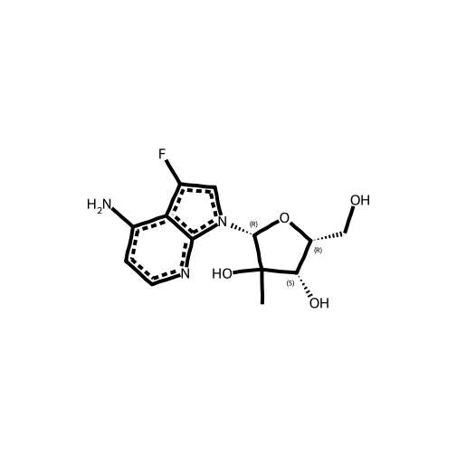 CC1(O)[C@@H](O)[C@@H](CO)O[C@H]1n1cc(F)c2c(N)ccnc21